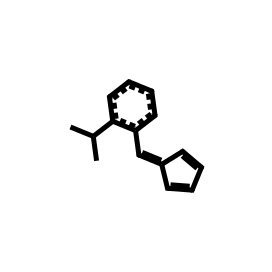 CC(C)c1ccccc1C=C1C=CC=C1